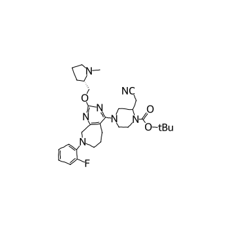 CN1CCC[C@H]1COc1nc2c(c(N3CCN(C(=O)OC(C)(C)C)C(CC#N)C3)n1)CCCN(c1ccccc1F)C2